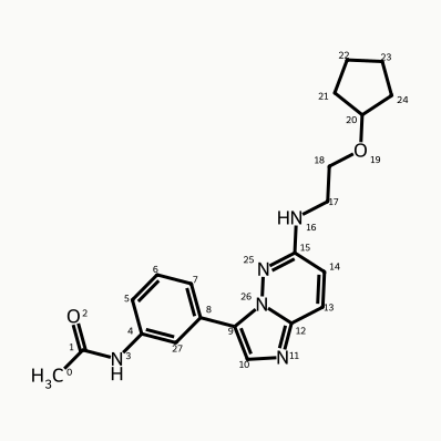 CC(=O)Nc1cccc(-c2cnc3ccc(NCCOC4CCCC4)nn23)c1